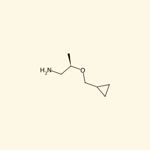 C[C@H](CN)OCC1CC1